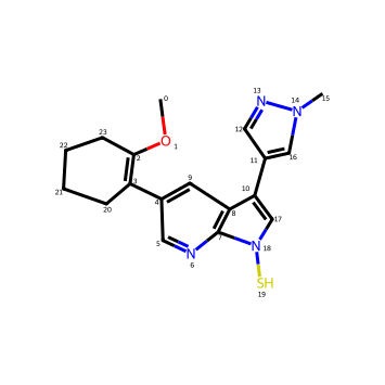 COC1=C(c2cnc3c(c2)c(-c2cnn(C)c2)cn3S)CCCC1